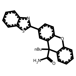 CCCCC1(C(N)=O)c2ccccc2Oc2ccc(-c3nc4ccccc4s3)cc21